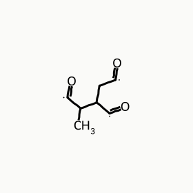 CC([C]=O)C([C]=O)C[C]=O